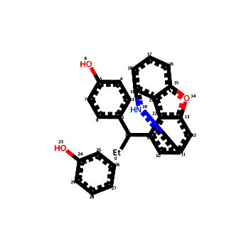 CCC(c1ccc(O)cc1)c1cc2cc3oc4cccc([nH]2)c4c13.Oc1ccccc1